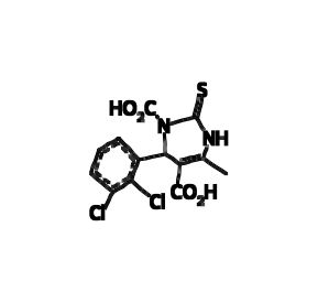 CC1=C(C(=O)O)C(c2cccc(Cl)c2Cl)N(C(=O)O)C(=S)N1